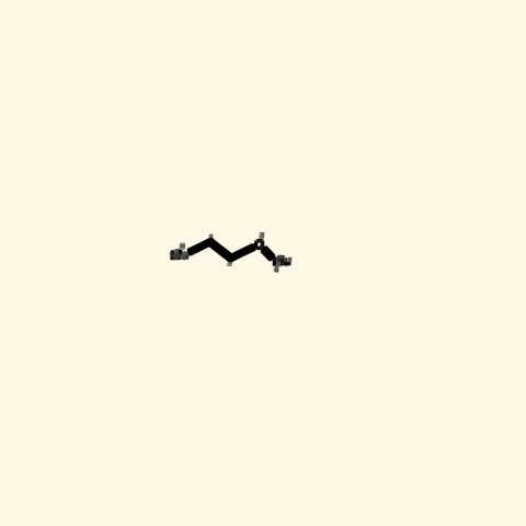 CC(C)(C)C[CH]OC(C)(C)C